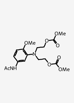 COC(=O)OCCN(CCOC(=O)OC)c1cc(NC(C)=O)ccc1OC